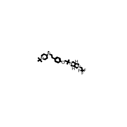 CN(CCc1ccc(OCC(C)(C)N2C[C@H]3CN(CC(F)(F)F)C[C@H]3C2)cc1)C1CCN(C(C)(C)C)CC1